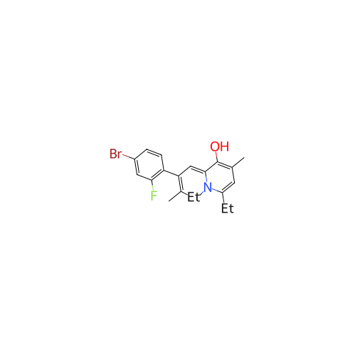 CCC1=CC(C)=C(O)/C(=C/C(=C(/C)CC)c2ccc(Br)cc2F)N1C